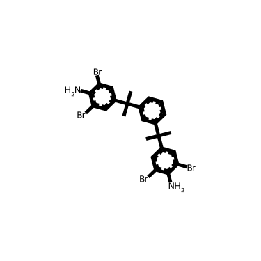 CC(C)(c1cccc(C(C)(C)c2cc(Br)c(N)c(Br)c2)c1)c1cc(Br)c(N)c(Br)c1